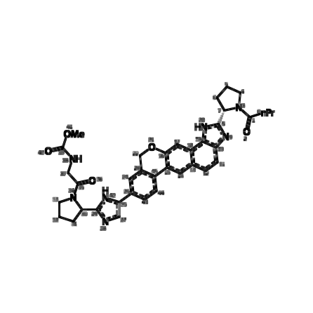 CCCC(=O)N1CCC[C@H]1c1nc2ccc3cc4c(cc3c2[nH]1)OCc1cc(-c2cnc(C3CCCN3C(=O)CNC(=O)OC)[nH]2)ccc1-4